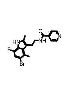 Cc1[nH]c2c(F)cc(Br)c(C)c2c1CCNC(=O)c1ccncc1